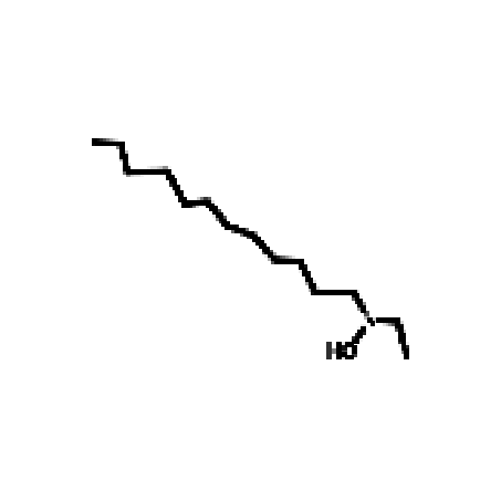 CCCCCCCCCCCCN(O)CC